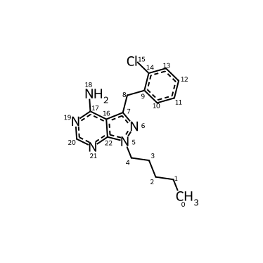 CCCCCn1nc(Cc2ccccc2Cl)c2c(N)ncnc21